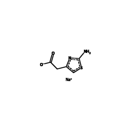 Nc1nc(CC(=O)[O-])cs1.[Na+]